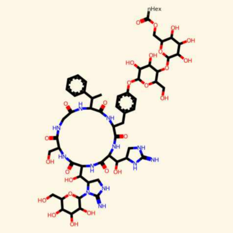 CCCCCCC(=O)OCC1OC(OC2C(CO)OC(Oc3ccc(CC4NC(=O)C(C(C)c5ccccc5)NC(=O)CNC(=O)C(CO)NC(=O)C(C(O)C5CNC(=N)N5C5OC(CO)C(O)C(O)C5O)NC(=O)C(C(O)C5CNC(=N)N5)NC4=O)cc3)C(O)C2O)C(O)C(O)C1O